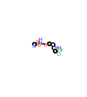 NC1CCc2ccc(OCCNS(=O)(=O)c3cccnc3)cc2C1Cc1ccc(Cl)c(Cl)c1